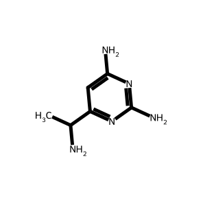 CC(N)c1cc(N)nc(N)n1